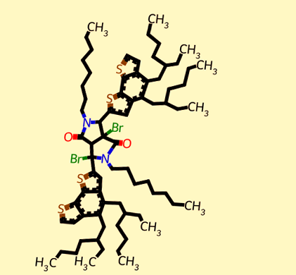 CCCCCCCCN1C(=O)C2C(Br)(C(=O)N(CCCCCCCC)C2(Br)c2cc3c(CC(CC)CCCC)c(CC(CC)CCCC)c4ccsc4c3s2)C1c1cc2c(CC(CC)CCCC)c(CC(CC)CCCC)c3ccsc3c2s1